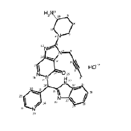 CC#CCn1c(N2CCC[C@@H](N)C2)nc2cnn(C(c3cccnc3)c3nc4ccccc4[nH]3)c(=O)c21.Cl